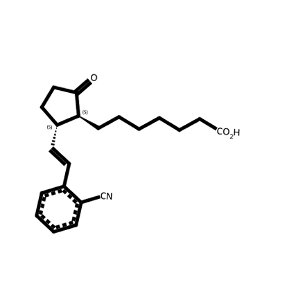 N#Cc1ccccc1C=C[C@@H]1CCC(=O)[C@H]1CCCCCCC(=O)O